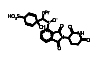 CCCC([S+]([O-])c1cccc2c1C(=O)N(C1CCC(=O)NC1=O)C2=O)C1(C)C=CC(S(=O)(=O)O)C=C1